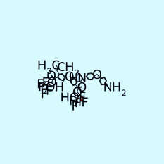 CC(C)Cc1cc(Oc2ccc(C(=O)OCC(O)(C(F)(F)F)C(F)(F)F)c(CNc3ccc(Oc4ccc(N)cc4)cc3)c2)ccc1C(=O)OCC(O)(C(F)(F)F)C(F)(F)F